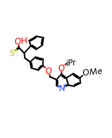 COc1ccc2ncc(COc3ccc(CC(C(O)=S)c4ccccc4)cc3)c(OC(C)C)c2c1